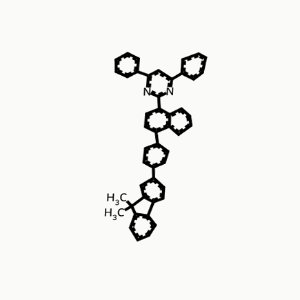 CC1(C)c2ccccc2-c2ccc(-c3ccc(-c4ccc(-c5nc(-c6ccccc6)cc(-c6ccccc6)n5)c5ccccc45)cc3)cc21